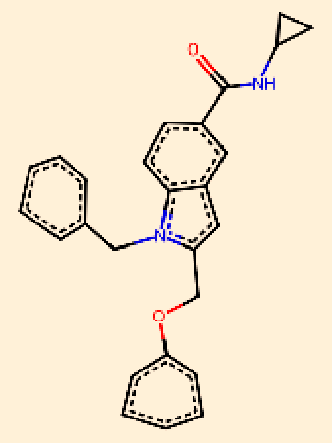 O=C(NC1CC1)c1ccc2c(c1)cc(COc1ccccc1)n2Cc1ccccc1